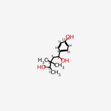 CC(O)C(C)(C)CC(O)c1ccc(O)cc1